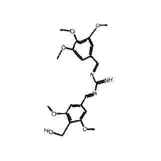 COc1cc(C=NC(=N)N=Cc2cc(OC)c(OC)c(OC)c2)cc(OC)c1CO